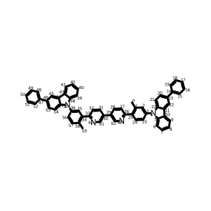 Cc1cc(-n2c3ccccc3c3cc(-c4ccccc4)ccc32)ccc1-c1ccc(-c2ccc(-c3cc(-n4c5ccccc5c5cc(-c6ccccc6)ccc54)ccc3C)nc2)cn1